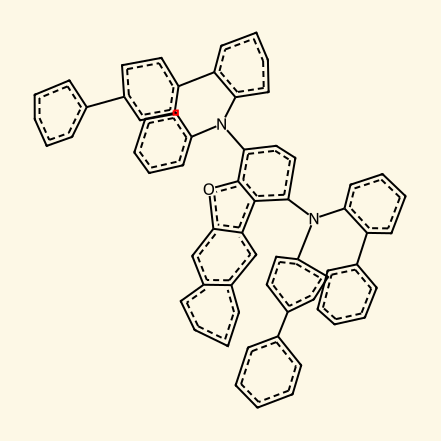 c1ccc(-c2ccc(-c3ccccc3N(c3ccccc3)c3ccc(N(c4ccc(-c5ccccc5)cc4)c4ccccc4-c4ccccc4)c4c3oc3cc5ccccc5cc34)cc2)cc1